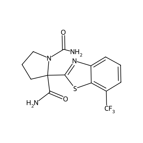 NC(=O)N1CCCC1(C(N)=O)c1nc2cccc(C(F)(F)F)c2s1